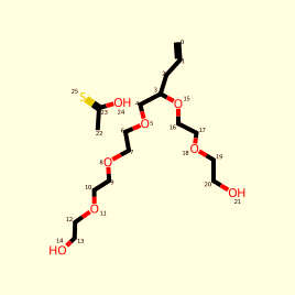 C=CCC(COCCOCCOCCO)OCCOCCO.CC(O)=S